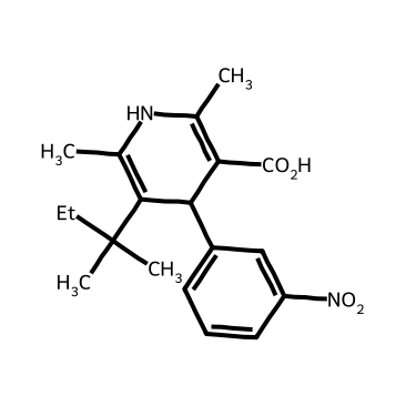 CCC(C)(C)C1=C(C)NC(C)=C(C(=O)O)C1c1cccc([N+](=O)[O-])c1